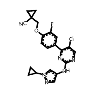 N#CC1(COc2ccc(-c3nc(Nc4cnn(C5CC5)c4)ncc3Cl)cc2F)CC1